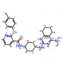 Cc1ccc(Oc2ncccc2C(=O)NC2CCC(Nc3nc4c(c(N(C)C)n3)CCCC4)CC2)cc1